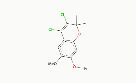 COc1cc2c(cc1OC(C)C)OC(C)(C)C(Cl)=C2Cl